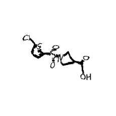 O=C(O)C1CN(S(=O)(=O)c2ccc(Cl)s2)C1